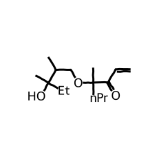 C=CC(=O)C(C)(CCC)OCC(C)C(C)(O)CC